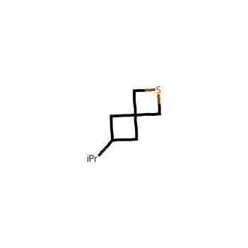 CC(C)C1CC2(CSC2)C1